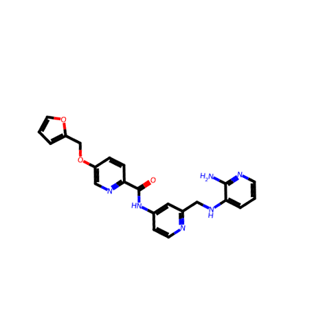 Nc1ncccc1NCc1cc(NC(=O)c2ccc(OCc3ccco3)cn2)ccn1